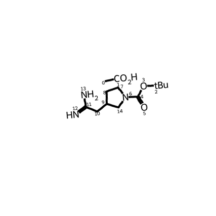 CC(=O)O.CC(C)(C)OC(=O)N1CCC(CC(=N)N)C1